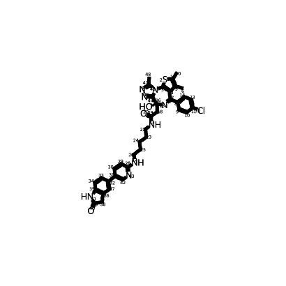 Cc1sc2c(c1C)C(c1ccc(Cl)cc1)=N[C@](O)(CC(=O)NCCCCCNc1ccc(-c3ccc4c(c3)CC(=O)N4)cn1)c1nnc(C)n1-2